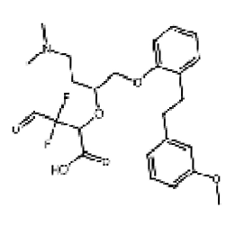 COc1cccc(CCc2ccccc2OCC(CCN(C)C)OC(C(=O)O)C(F)(F)C=O)c1